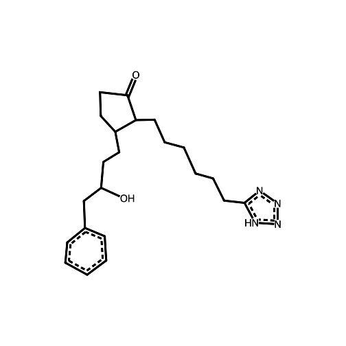 O=C1CCC(CCC(O)Cc2ccccc2)C1CCCCCCc1nnn[nH]1